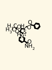 CC1(C)O[C@@H]2[C@H](O1)[C@@H](COC(=O)c1ccccc1)S[C@H]2[n+]1cccc(C(N)=O)c1